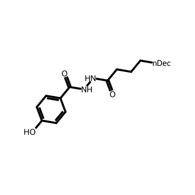 CCCCCCCCCCCCCC(=O)NNC(=O)c1ccc(O)cc1